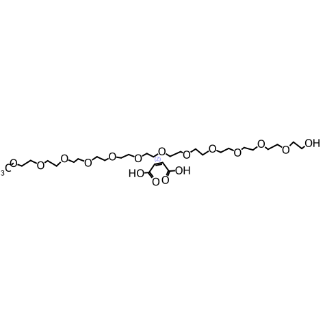 COCCOCCOCCOCCOCCOCCOCCOCCOCCOCCOCCOCCO.O=C(O)/C=C\C(=O)O